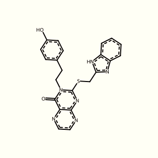 O=c1c2nccnc2nc(SCc2nc3ccccc3[nH]2)n1CCc1ccc(O)cc1